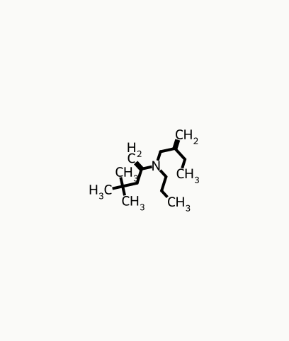 C=C(CC)CN(CCC)C(=C)CC(C)(C)C